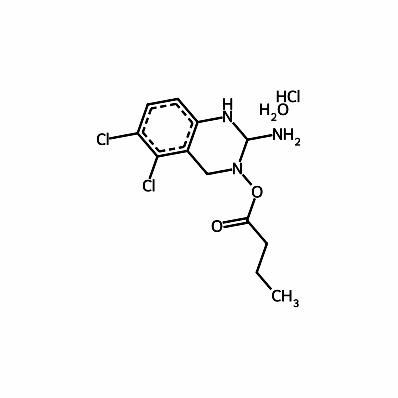 CCCC(=O)ON1Cc2c(ccc(Cl)c2Cl)NC1N.Cl.O